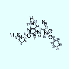 CN1CCC[C@H]1COc1nc2c(c(N3CCN(C(=O)OCc4ccccc4)[C@@H](CC#N)C3)c1F)CCNC2